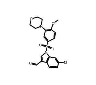 COc1ccc(S(=O)(=O)n2cc(C=O)c3ccc(Cl)cc32)cc1N1CCOCC1